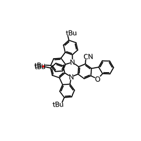 CC(C)(C)c1ccc2c(c1)c1cc(C(C)(C)C)ccc1n2-c1cc2oc3ccccc3c2c(C#N)c1-n1c2ccc(C(C)(C)C)cc2c2cc(C(C)(C)C)ccc21